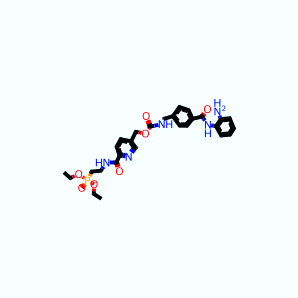 CCOP(=O)(CCNC(=O)c1ccc(COC(=O)NCc2ccc(C(=O)Nc3ccccc3N)cc2)cn1)OCC